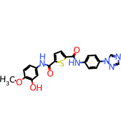 COc1ccc(NC(=O)c2ccc(C(=O)Nc3ccc(-n4cncn4)cc3)s2)cc1O